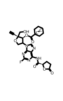 C#C[C@]1(CO)OCC(n2cnc3c(NC(=O)[C@H]4CCC(=O)O4)nc(F)nc32)[C@@H]1OC(=O)C12CCC(CC1)CC2